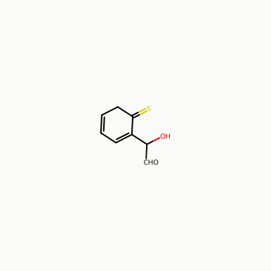 O=CC(O)C1=CC=CCC1=S